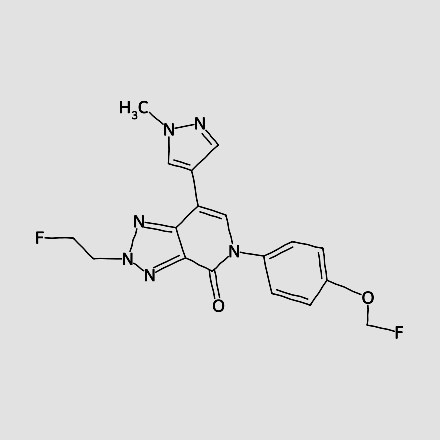 Cn1cc(-c2cn(-c3ccc(OCF)cc3)c(=O)c3nn(CCF)nc23)cn1